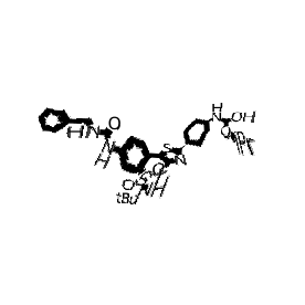 CC(C)OC(O)N[C@H]1CC[C@H](c2nc(F)c(-c3ccc(NC(=O)NCc4ccccc4)cc3S(=O)(=O)NC(C)(C)C)s2)CC1